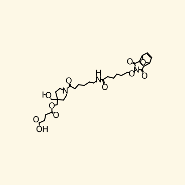 O=C(O)CCC(=O)OCC1(COI)CCN(C(=O)CCCCCNC(=O)CCCCCON2C(=O)C3C4C=CC(O4)C3C2=O)CC1